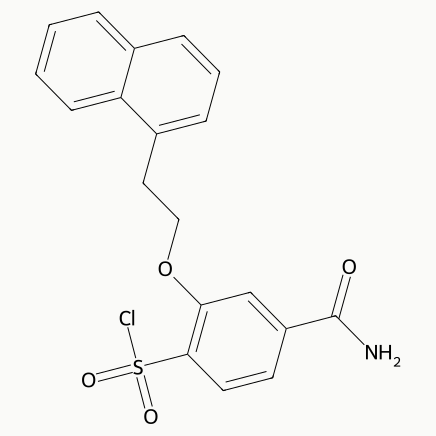 NC(=O)c1ccc(S(=O)(=O)Cl)c(OCCc2cccc3ccccc23)c1